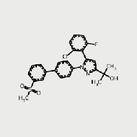 CC(C)(O)c1cc(-c2c(F)cccc2Cl)n(-c2ccc(-c3cccc(S(C)(=O)=O)c3)cc2)n1